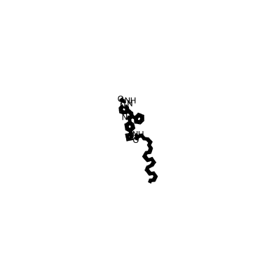 CC/C=C\C/C=C\C/C=C\C/C=C\C/C=C\C/C=C\CCC(=O)NC1(c2ccc(-c3nc4ccn5c(=O)[nH]nc5c4cc3-c3ccccc3)cc2)CCC1